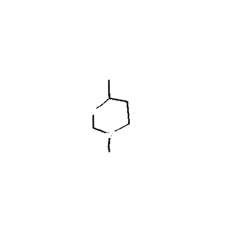 CC1CCN(C)CS1